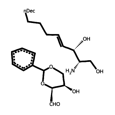 CCCCCCCCCCCCC/C=C/[C@H](O)[C@@H](N)CO.O=C[C@H]1OC(c2ccccc2)OC[C@H]1O